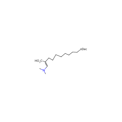 CCCCCCCCCCCCCCCCCCC(=CN(C)C)C(=O)O